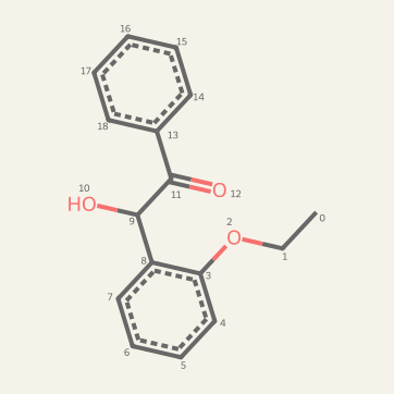 CCOc1ccccc1C(O)C(=O)c1ccccc1